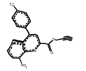 C#COC(=O)c1cc(-c2ccc(C(F)(F)F)cc2)c2cccc([N+](=O)[O-])c2n1